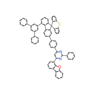 c1ccc(-c2cc(-c3ccccc3)cc(-c3cccc4c3-c3ccc(-c5ccc(-c6cc(-c7cccc8c7oc7ccccc78)nc(-c7ccccc7)n6)cc5)cc3C43c4ccccc4Sc4ccccc43)c2)cc1